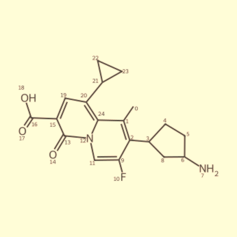 Cc1c(C2CCC(N)C2)c(F)cn2c(=O)c(C(=O)O)cc(C3CC3)c12